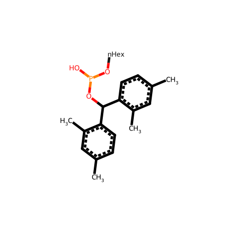 CCCCCCOP(O)OC(c1ccc(C)cc1C)c1ccc(C)cc1C